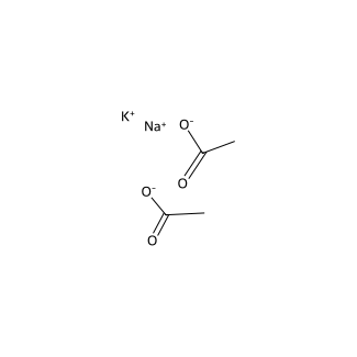 CC(=O)[O-].CC(=O)[O-].[K+].[Na+]